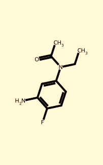 CCN(C(C)=O)c1ccc(F)c(N)c1